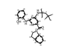 CC(C)(C)CC(C)(C)Nc1cc(C(=O)N2CCc3ccccc32)nc(Nc2ccccc2O)n1